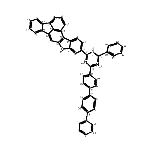 c1ccc(-c2ccc(-c3ccc(C4=NC(c5ccccc5)NC(c5ccc6c(c5)oc5cc7c8c(cccc8c56)-c5ccccc5-7)=N4)cc3)cc2)cc1